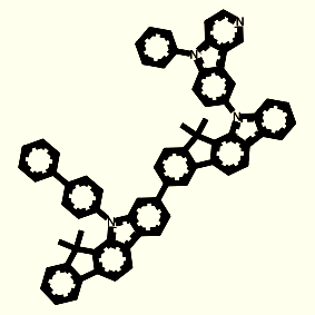 CC1(C)c2ccc(-c3ccc4c5ccc6c(c5n(-c5ccc(-c7ccccc7)cc5)c4c3)C(C)(C)c3ccccc3-6)cc2-c2ccc3c4ccccc4n(-c4ccc5c(c4)c4cnccc4n5-c4ccccc4)c3c21